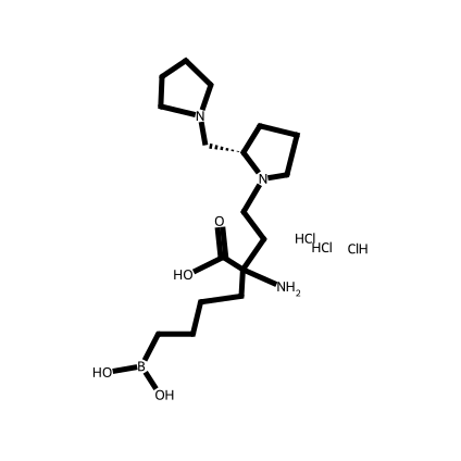 Cl.Cl.Cl.NC(CCCCB(O)O)(CCN1CCC[C@H]1CN1CCCC1)C(=O)O